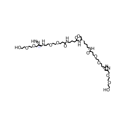 N=N/C(=C\NCCOCCOCCC(=O)NCCCC(=O)N[C@H](C=O)CCCCNC(=O)CCOCCOCCn1cc(COCCOCCO)nn1)COCCOCCO